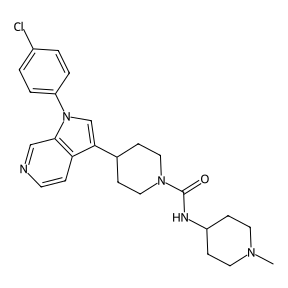 CN1CCC(NC(=O)N2CCC(c3cn(-c4ccc(Cl)cc4)c4cnccc34)CC2)CC1